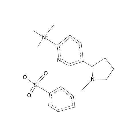 CN1CCCC1c1ccc([N+](C)(C)C)nc1.O=S(=O)([O-])c1ccccc1